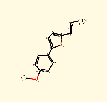 O=C(O)/C=C/c1ccc(-c2ccc(OC(F)(F)F)cc2)s1